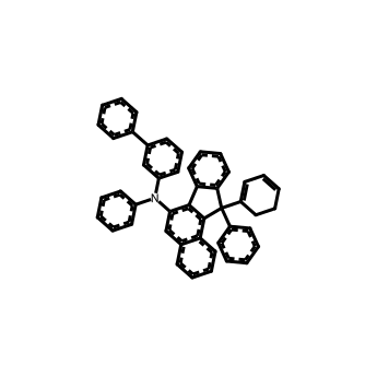 C1=CCCC(C2(c3ccccc3)c3ccccc3-c3c(N(c4ccccc4)c4cccc(-c5ccccc5)c4)cc4ccccc4c32)=C1